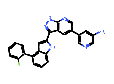 Nc1cncc(-c2cnc3[nH]nc(-c4cc5c(-c6ccccc6F)cccc5[nH]4)c3c2)c1